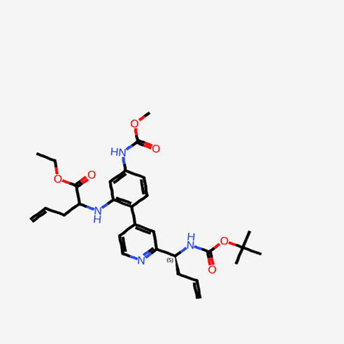 C=CCC(Nc1cc(NC(=O)OC)ccc1-c1ccnc([C@H](CC=C)NC(=O)OC(C)(C)C)c1)C(=O)OCC